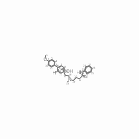 COc1ccc(C2=CC3CC[C@@H]2C[C@@]3(O)CCN(C)CCCc2nc3ccccc3[nH]2)cc1